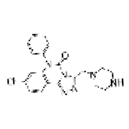 O=c1n(-c2ccccc2)c2cc(Cl)ccc2c2nnc(CN3CCNCC3)n12